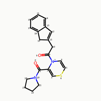 O=C(C1=CSC=CN1C(=O)CC1=Cc2ccccc2C1)N1CCCC1